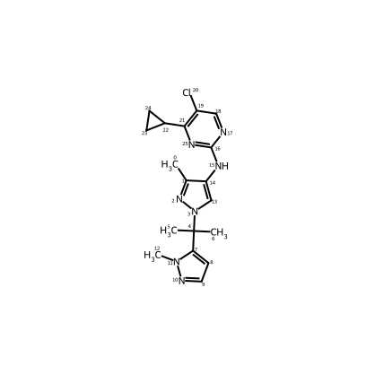 Cc1nn(C(C)(C)c2ccnn2C)cc1Nc1ncc(Cl)c(C2CC2)n1